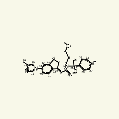 COCCCN1C(/C=C2\CCc3cc(-n4cnc(C)c4)ccc32)=NOC1(C)c1ccc(F)cc1